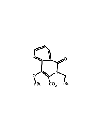 CCCCOc1c(C(=O)O)n(CC(C)(C)C)c(=O)c2ccccc12